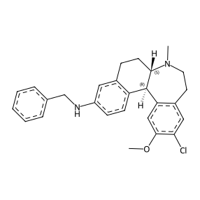 COc1cc2c(cc1Cl)CCN(C)[C@H]1CCc3cc(NCc4ccccc4)ccc3[C@H]21